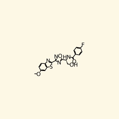 COc1ccc2nc(-c3noc([C@H](CO)NC(=O)c4ccc(F)cc4)n3)sc2c1